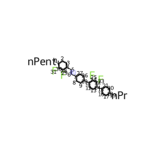 CCCCCc1ccc(/C=C/c2ccc(-c3ccc(-c4ccc(CCC)cc4)c(F)c3F)cc2)c(F)c1F